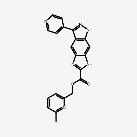 Cc1cccc(COC(=O)c2nc3cc4c(-c5ccncc5)n[nH]c4cc3[nH]2)n1